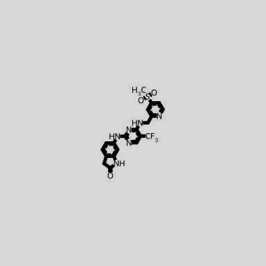 CS(=O)(=O)c1ccnc(CNc2nc(Nc3ccc4c(c3)NC(=O)C4)ncc2C(F)(F)F)c1